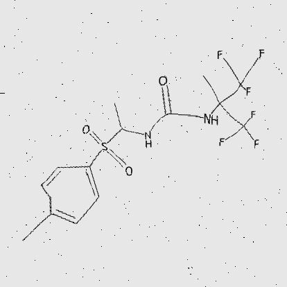 Cc1ccc(S(=O)(=O)C(C)NC(=O)NC(C)(C(F)(F)F)C(F)(F)F)cc1